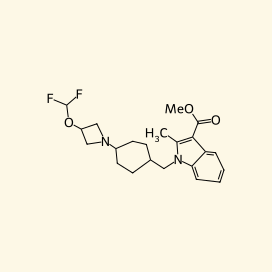 COC(=O)c1c(C)n(CC2CCC(N3CC(OC(F)F)C3)CC2)c2ccccc12